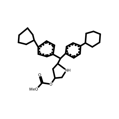 COC(=O)OC1CNC(C(c2ccc(C3CCCCC3)cc2)c2ccc(C3CCCCC3)cc2)C1